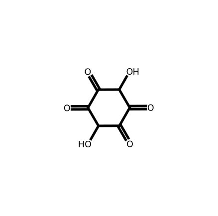 O=C1C(=O)C(O)C(=O)C(=O)C1O